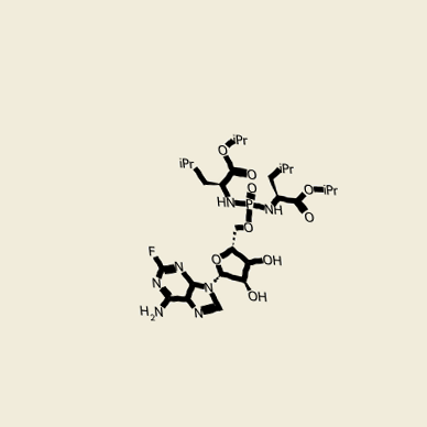 CC(C)C[C@H](NP(=O)(N[C@@H](CC(C)C)C(=O)OC(C)C)OC[C@H]1O[C@@H](N2C=NC3C(N)=NC(F)=NC32)[C@H](O)C1O)C(=O)OC(C)C